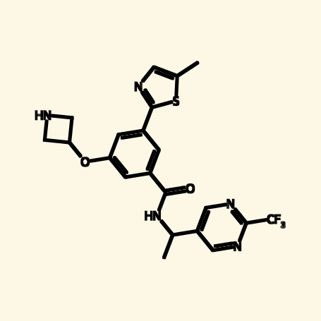 Cc1cnc(-c2cc(OC3CNC3)cc(C(=O)NC(C)c3cnc(C(F)(F)F)nc3)c2)s1